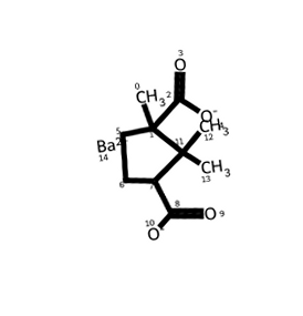 CC1(C(=O)[O-])CCC(C(=O)[O-])C1(C)C.[Ba+2]